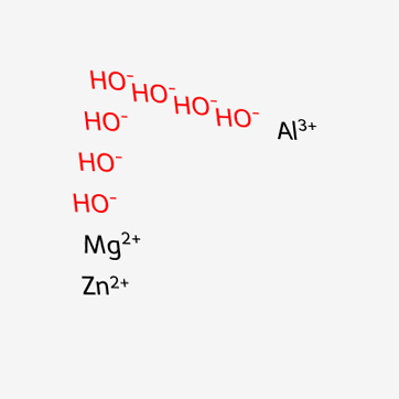 [Al+3].[Mg+2].[OH-].[OH-].[OH-].[OH-].[OH-].[OH-].[OH-].[Zn+2]